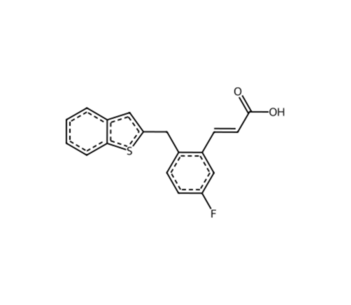 O=C(O)C=Cc1cc(F)ccc1Cc1cc2ccccc2s1